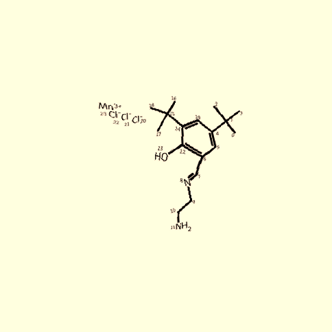 CC(C)(C)c1cc(C=NCCN)c(O)c(C(C)(C)C)c1.[Cl-].[Cl-].[Cl-].[Mn+3]